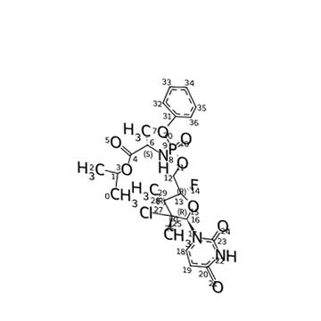 CC(C)OC(=O)[C@H](C)NP(=O)(OC[C@@]1(F)O[C@@H](n2ccc(=O)[nH]c2=O)[C@](C)(Cl)[C@@H]1C)Oc1ccccc1